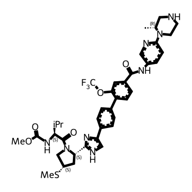 COC(=O)N[C@H](C(=O)N1C[C@@H](SC)C[C@H]1c1nc(-c2ccc(-c3ccc(C(=O)Nc4ccc(N5CCNC[C@H]5C)nc4)cc3OC(F)(F)F)cc2)c[nH]1)C(C)C